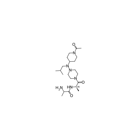 CC(=O)N1CCC(N(CC(C)C)N2CCN(C(=O)[C@@H](C)NC(=O)C(C)N)CC2)CC1